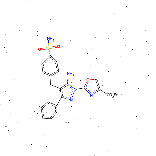 CCOC(=O)c1coc(-n2nc(-c3ccccc3)c(Cc3ccc(S(N)(=O)=O)cc3)c2N)n1